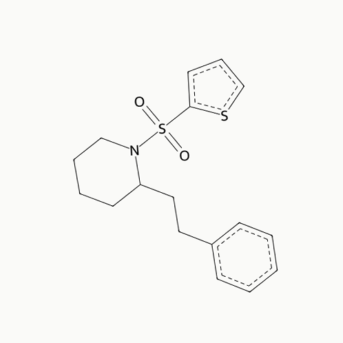 O=S(=O)(c1cccs1)N1CCCCC1CCc1ccccc1